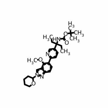 CCC(CC)(NC(=O)OC(C)(C)C)c1ccc(-c2ccc3nn(C4CCCCO4)cc3c2OC)nc1